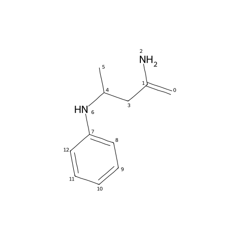 C=C(N)CC(C)Nc1ccccc1